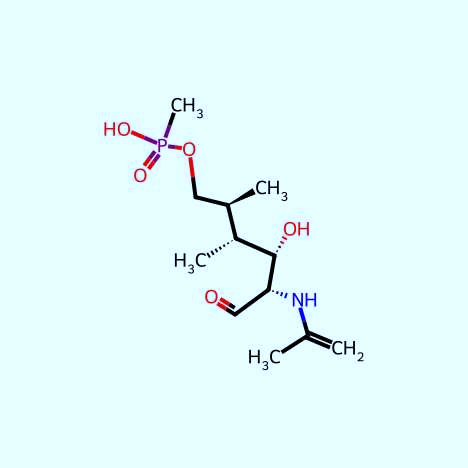 C=C(C)N[C@H](C=O)[C@@H](O)[C@H](C)[C@H](C)COP(C)(=O)O